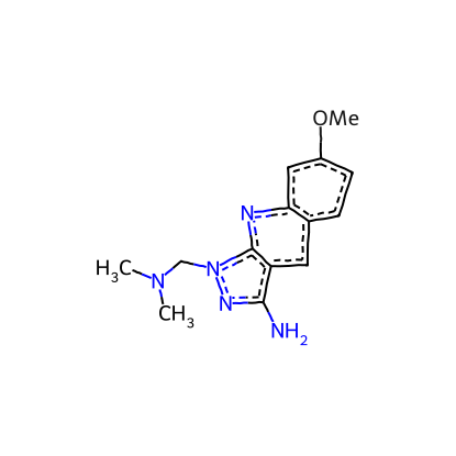 COc1ccc2cc3c(N)nn(CN(C)C)c3nc2c1